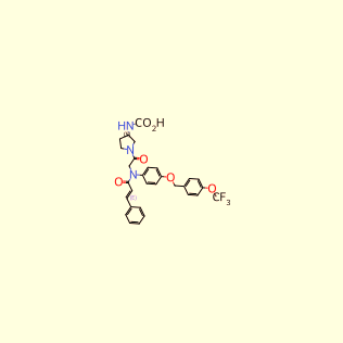 O=C(O)N[C@H]1CCN(C(=O)CN(C(=O)/C=C/c2ccccc2)c2ccc(OCc3ccc(OC(F)(F)F)cc3)cc2)C1